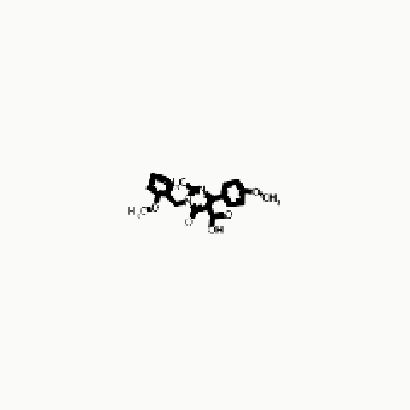 COc1ccc(-c2nc(C)n(Cc3ccccc3OC)c(=O)c2C(=O)O)cc1